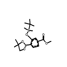 COC(=O)c1ccc(B2OCC(C)(C)O2)c(O[Si](C)(C)C(C)(C)C)c1